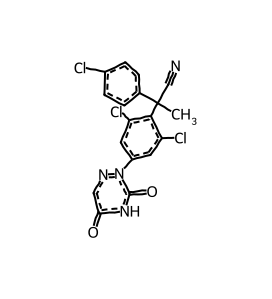 CC(C#N)(c1ccc(Cl)cc1)c1c(Cl)cc(-n2ncc(=O)[nH]c2=O)cc1Cl